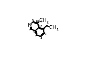 CCc1cccc2cncc(C)c12